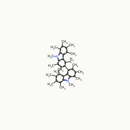 Cc1c(C)c(C)c2c(c1C)c1c(C)c(-c3c(C)c(C)c(C)c4c3c3c(C)c(C)c(C)c(C)c3n4C)c(C)c(C)c1n2C